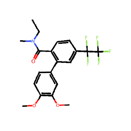 CCN(C)C(=O)c1ccc(C(F)(F)C(F)(F)F)cc1-c1ccc(OC)c(OC)c1